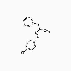 CC(Cc1ccccc1)N=Cc1ccc(Cl)cc1